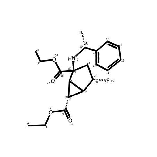 CCOC(=O)[C@H]1C2C1[C@](N[C@H](C)c1ccccc1)(C(=O)OCC)C[C@@H]2F